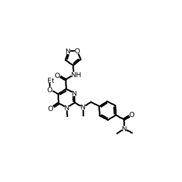 CCOc1c(C(=O)Nc2cnoc2)nc(N(C)Cc2ccc(C(=O)N(C)C)cc2)n(C)c1=O